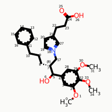 COc1cc(C(O)[C@H](CCCc2ccccc2)Cn2ccc(CCC(=O)O)c2)cc(OC)c1OC